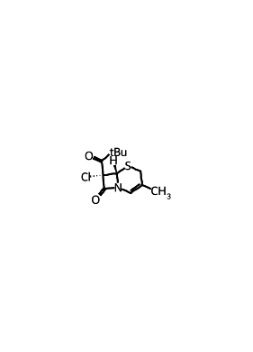 CC1=CN2C(=O)[C@@](Cl)(C(=O)C(C)(C)C)[C@@H]2SC1